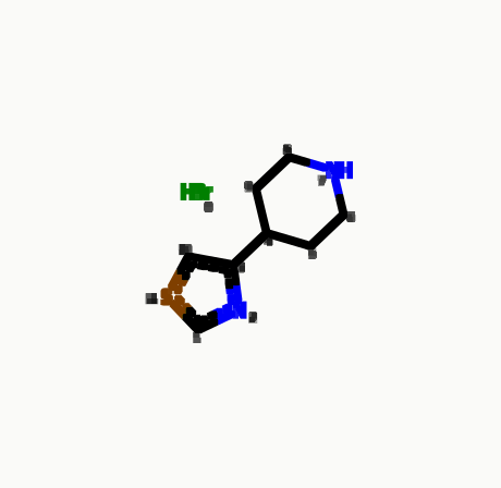 Br.c1nc(C2CCNCC2)cs1